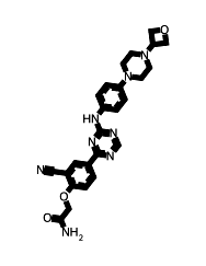 N#Cc1cc(-c2ncnc(Nc3ccc(N4CCN(C5COC5)CC4)cc3)n2)ccc1OCC(N)=O